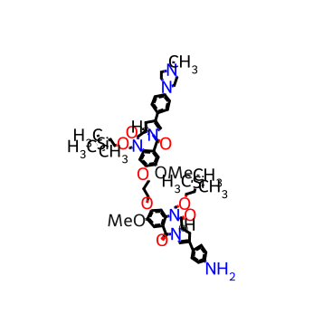 COc1cc2c(cc1OCCCOc1cc3c(cc1OC)C(=O)N1C=C(c4ccc(N5CCN(C)CC5)cc4)C[C@H]1C(=O)N3COCC[Si](C)(C)C)N(COCC[Si](C)(C)C)C(=O)[C@@H]1CC(c3ccc(N)cc3)=CN1C2=O